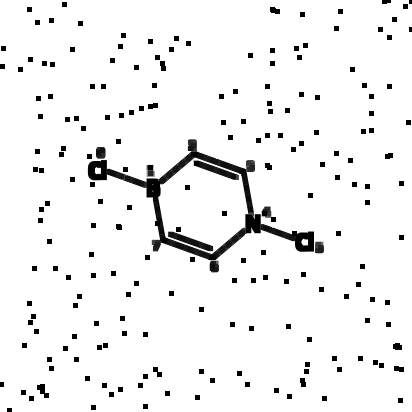 ClB1C=CN(Cl)C=C1